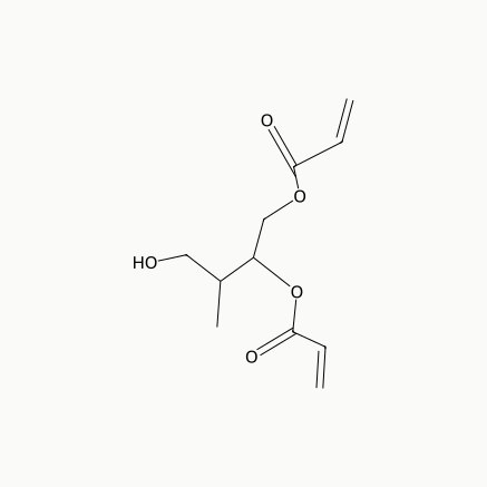 C=CC(=O)OCC(OC(=O)C=C)C(C)CO